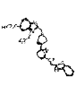 O=C(O)c1ccc2nc(CN3CC=C(c4cccc(OCc5nc6ccccc6s5)n4)CC3)n(C[C@@H]3CCO3)c2c1